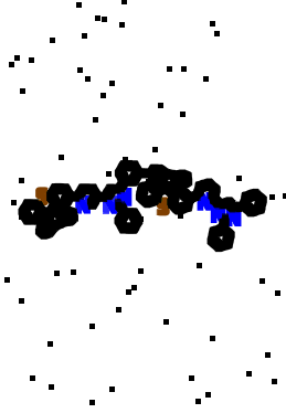 c1ccc(-c2cc(-c3cccc(-c4ccc5c(c4)C4(c6ccccc6S5)c5ccccc5-c5ccc(-c6cccc(-c7cc(-c8ccc(-c9ccc%10c(c9)C9(c%11ccccc%11S%10)c%10ccccc%10-c%10ccccc%109)nc8)nc(-c8ccccc8)n7)c6)cc54)n3)nc(-c3ccccc3)n2)cc1